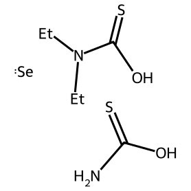 CCN(CC)C(O)=S.NC(O)=S.[Se]